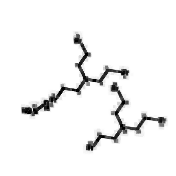 CC(C)CCN(CCC(C)C)CCC(C)C.CC(C)CCN(CCC(C)C)CCC(C)C.O=S(=O)(O)O